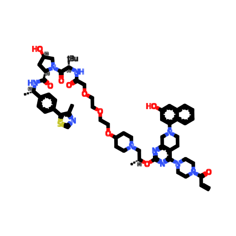 C=CC(=O)N1CCN(c2nc(O[C@H](C)CN3CCC(OCCOCCOCC(=O)N[C@H](C(=O)N4C[C@H](O)C[C@H]4C(=O)N[C@@H](C)c4ccc(-c5scnc5C)cc4)C(C)(C)C)CC3)nc3c2CCN(c2cc(O)cc4ccccc24)C3)CC1